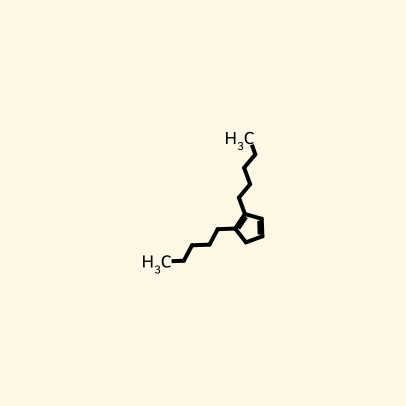 CCCCCC1=C(CCCCC)CC=C1